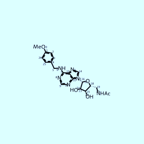 COc1ccc(CNc2ncnc3c2ncn3[C@@H]2O[C@H](CNC(C)=O)[C@@H](O)[C@H]2O)cc1